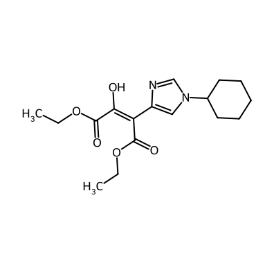 CCOC(=O)C(O)=C(C(=O)OCC)c1cn(C2CCCCC2)cn1